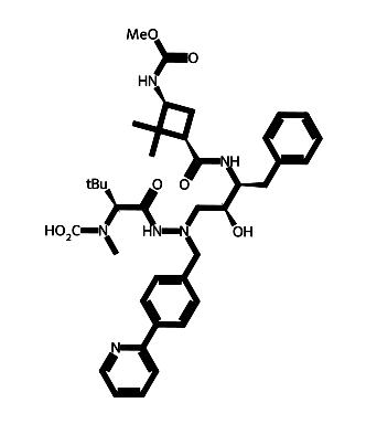 COC(=O)N[C@H]1C[C@@H](C(=O)N[C@@H](Cc2ccccc2)[C@@H](O)CN(Cc2ccc(-c3ccccn3)cc2)NC(=O)[C@@H](N(C)C(=O)O)C(C)(C)C)C1(C)C